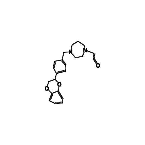 O=C=CN1CCCN(Cc2ccc(C3COc4ccccc4O3)cc2)CC1